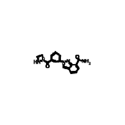 NC(=O)c1cccc2cn(-c3cccc(C(=O)N4CCN4)c3)nc12